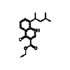 CCOC(=O)c1c[nH]c2c(C(C)CC(C)C)cccc2c1=O